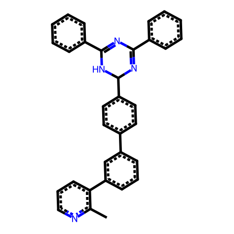 Cc1ncccc1-c1cccc(-c2ccc(C3N=C(c4ccccc4)N=C(c4ccccc4)N3)cc2)c1